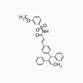 CC=C(c1ccccc1)C(c1ccccc1)c1ccc(C=CC(=O)NS(=O)(=O)c2cccc(OC)c2)cc1